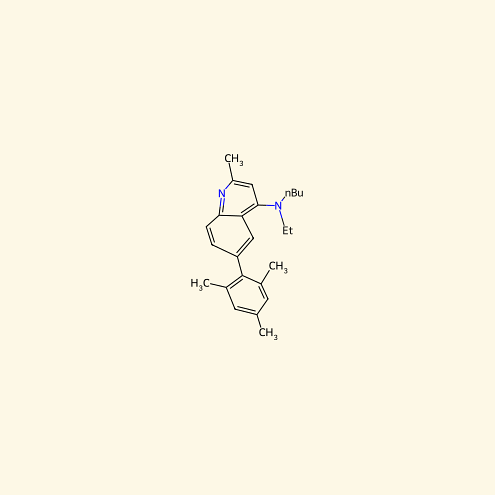 CCCCN(CC)c1cc(C)nc2ccc(-c3c(C)cc(C)cc3C)cc12